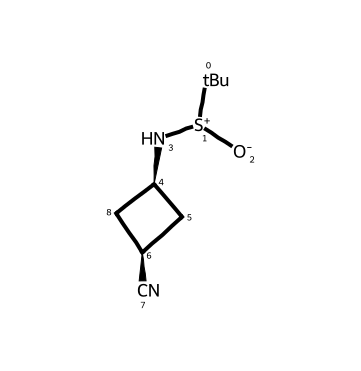 CC(C)(C)[S+]([O-])N[C@H]1C[C@@H](C#N)C1